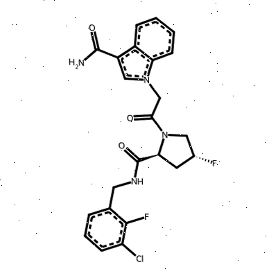 NC(=O)c1cn(CC(=O)N2C[C@H](F)C[C@H]2C(=O)NCc2cccc(Cl)c2F)c2ccccc12